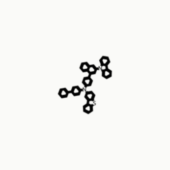 c1ccc(-c2ccc(N(c3ccc(-c4cc(-n5c6ccccc6c6ccccc65)cc5ccccc45)cc3)c3ccc4sc5ccccc5c4c3)cc2)cc1